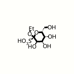 CCO[C@]1(S(=O)(=O)O)O[C@H](CO)[C@H](O)[C@H](O)[C@H]1O